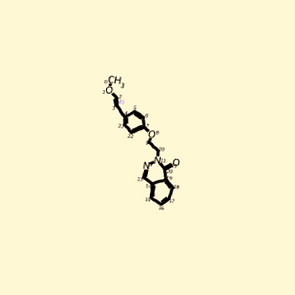 CO/C=C/c1ccc(OCCn2ncc3ccccc3c2=O)cc1